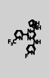 Fc1ccc(Nc2cc(N[C@@H]3C4COC3C4)nc(-c3cccc(C(F)(F)F)n3)n2)cn1